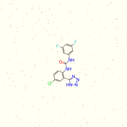 O=C(Nc1cc(F)cc(F)c1)Nc1ccc(Cl)cc1-c1nnn[nH]1